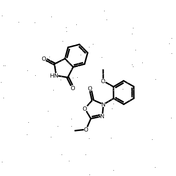 COc1nn(-c2ccccc2OC)c(=O)o1.O=C1NC(=O)c2ccccc21